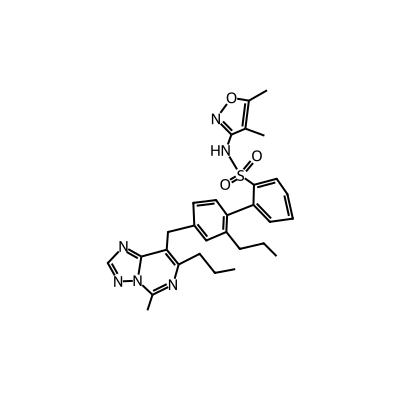 CCCc1cc(Cc2c(CCC)nc(C)n3ncnc23)ccc1-c1ccccc1S(=O)(=O)Nc1noc(C)c1C